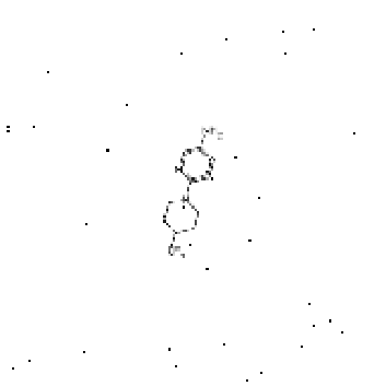 Nc1ccc(N2CCC(C(F)(F)F)CC2)nc1